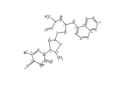 CC(C=O)NP(OCC1CC(C)C(n2cc(Br)c(=O)[nH]c2=O)O1)Oc1cccc2ccccc12